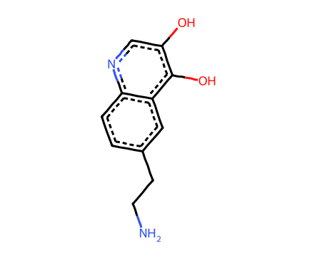 NCCc1ccc2ncc(O)c(O)c2c1